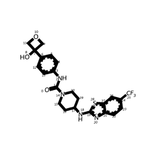 O=C(Nc1ccc(C2(O)COC2)cc1)N1CCC(Nc2nc3ccc(C(F)(F)F)cc3s2)CC1